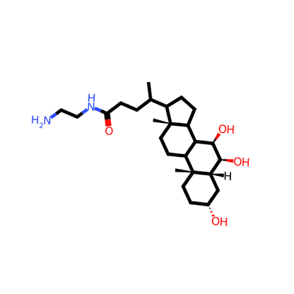 CC(CCC(=O)NCCN)C1CCC2C3C(CC[C@]12C)[C@@]1(C)CC[C@@H](O)C[C@H]1[C@H](O)[C@@H]3O